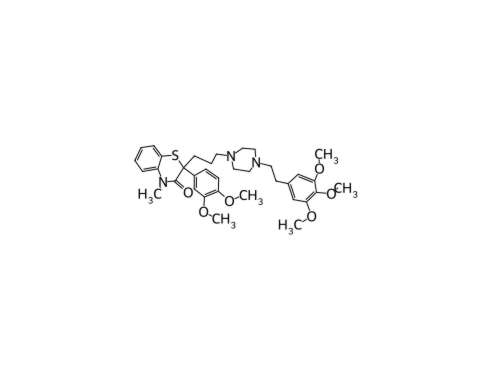 COc1ccc(C2(CCCN3CCN(CCc4cc(OC)c(OC)c(OC)c4)CC3)Sc3ccccc3N(C)C2=O)cc1OC